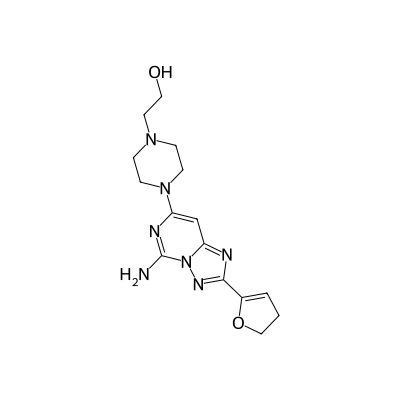 Nc1nc(N2CCN(CCO)CC2)cc2nc(C3=CCCO3)nn12